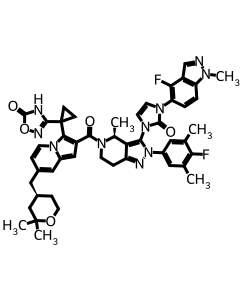 Cc1cc(-n2nc3c(c2-n2ccn(-c4ccc5c(cnn5C)c4F)c2=O)[C@H](C)N(C(=O)c2cc4cc(C[C@H]5CCOC(C)(C)C5)ccn4c2C2(c4noc(=O)[nH]4)CC2)CC3)cc(C)c1F